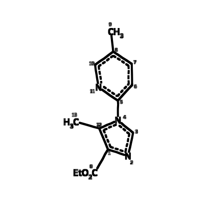 CCOC(=O)c1ncn(-c2ccc(C)cn2)c1C